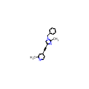 Cc1cc(C#Cc2cn(Cc3ccccc3)c(C)n2)ccn1